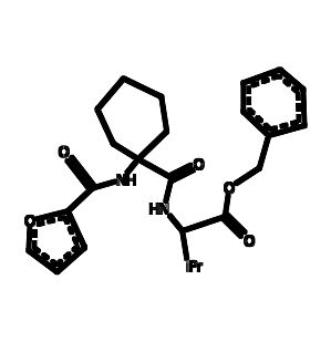 CC(C)C(NC(=O)C1(NC(=O)c2ccco2)CCCCC1)C(=O)OCc1ccccc1